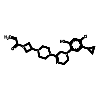 C=CC(=O)N1CC(N2CCN(C3=NCCN(c4cc(C5CC5)c(Cl)cc4O)C3)CC2)C1